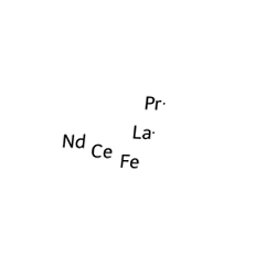 [Ce].[Fe].[La].[Nd].[Pr]